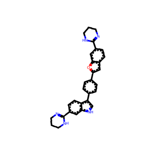 c1cc2c(-c3ccc(-c4cc5ccc(C6=NCCCN6)cc5o4)cc3)c[nH]c2cc1C1=NCCCN1